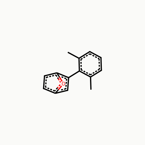 Cc1cccc(C)c1-c1cc2ccc1o2